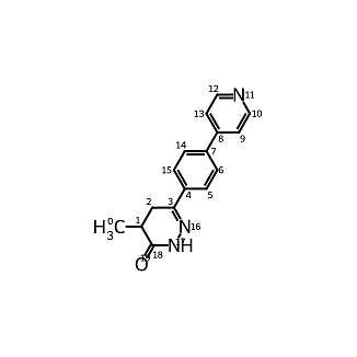 CC1CC(c2ccc(-c3ccncc3)cc2)=NNC1=O